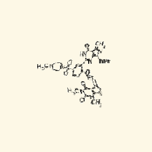 CCCc1nn(C)c2c(=O)[nH]c(-c3cc(S(=O)(=O)N4CCN(C)CC4)ccc3OCC)nc12.Cn1c(=O)c2[nH]cnc2n(C)c1=O